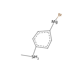 C[SiH2]c1cc[c]([Mg][Br])cc1